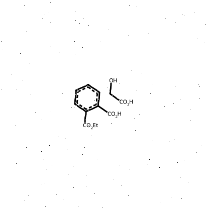 CCOC(=O)c1ccccc1C(=O)O.O=C(O)CO